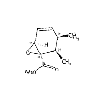 COC(=O)[C@]12O[C@H]1C=C[C@@H](C)[C@H]2C